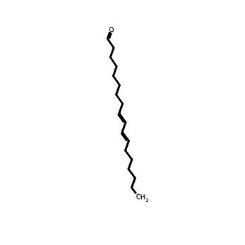 CCCCCCC=CC=CCCCCCCCC=O